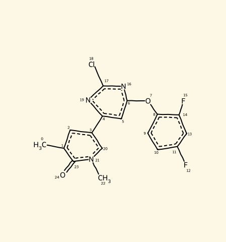 Cc1cc(-c2cc(Oc3ccc(F)cc3F)nc(Cl)n2)cn(C)c1=O